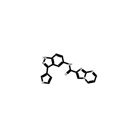 O=C(Nc1ccc2[nH]nc(-c3ccoc3)c2c1)c1cn2cccnc2n1